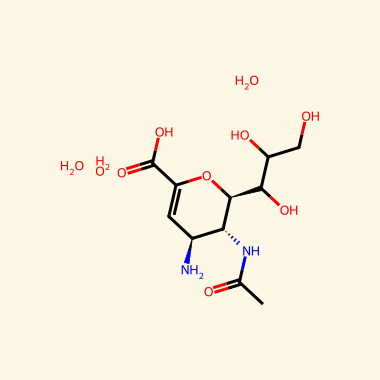 CC(=O)N[C@@H]1[C@@H](N)C=C(C(=O)O)O[C@H]1C(O)C(O)CO.O.O.O